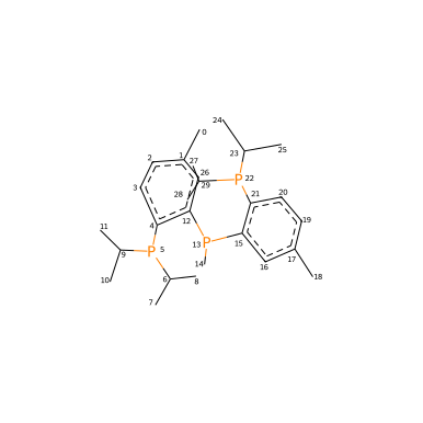 Cc1ccc(P(C(C)C)C(C)C)c(P(C)c2cc(C)ccc2P(C(C)C)C(C)C)c1